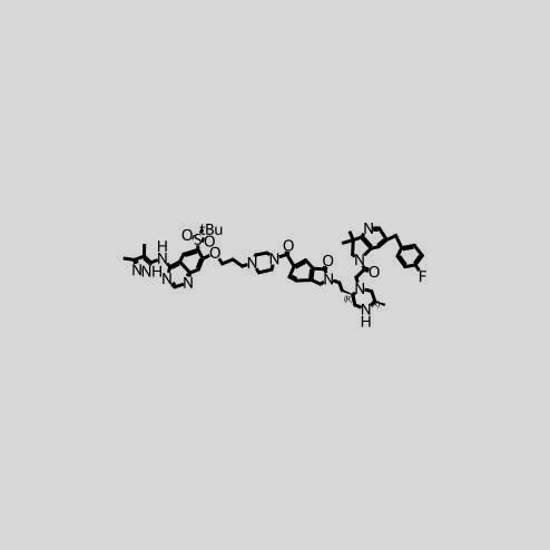 Cc1n[nH]c(Nc2ncnc3cc(OCCCN4CCN(C(=O)c5ccc6c(c5)C(=O)N(CC[C@@H]5CN[C@H](C)CN5CC(=O)N5CC(C)(C)c7ncc(Cc8ccc(F)cc8)cc75)C6)CC4)c(S(=O)(=O)C(C)(C)C)cc23)c1C